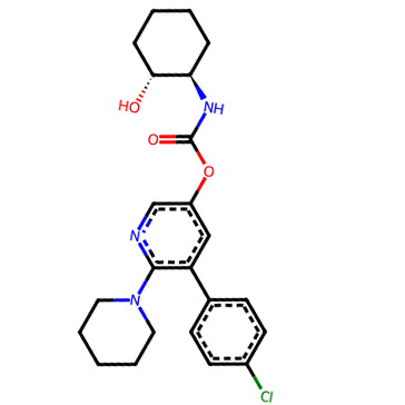 O=C(N[C@@H]1CCCC[C@H]1O)Oc1cnc(N2CCCCC2)c(-c2ccc(Cl)cc2)c1